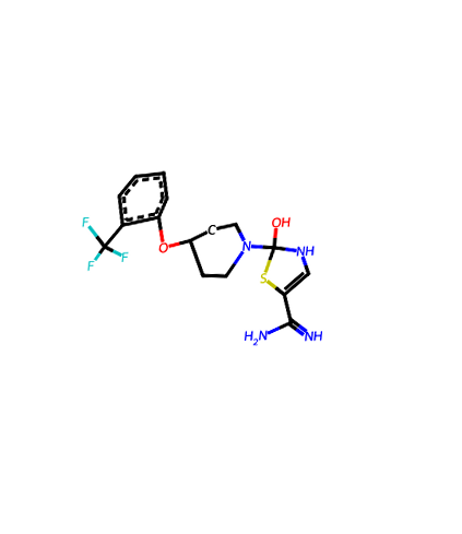 N=C(N)C1=CNC(O)(N2CCC(Oc3ccccc3C(F)(F)F)CC2)S1